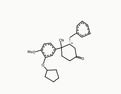 COc1ccc(C2(C#N)CCC(=O)C[C@H]2Cc2ccccc2)cc1OC1CCCC1